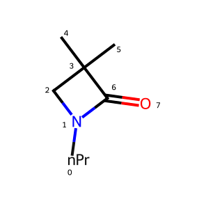 CCCN1CC(C)(C)C1=O